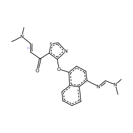 CN(C)C=Nc1ccc(Oc2ncsc2C(=O)/C=C/N(C)C)c2ccccc12